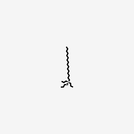 CCCCCCCCCCCCCCCC[Si](CCC)(CCC)OCCC